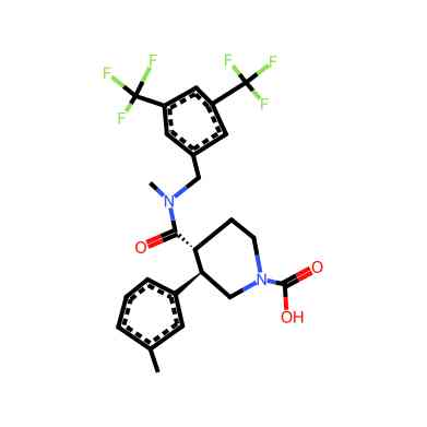 Cc1cccc([C@@H]2CN(C(=O)O)CC[C@H]2C(=O)N(C)Cc2cc(C(F)(F)F)cc(C(F)(F)F)c2)c1